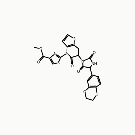 COC(=O)c1csc(NC(=O)C(Cc2cccs2)N2C(=O)NC(c3ccc4c(c3)OCCO4)C2=O)n1